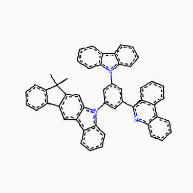 CC1(C)c2ccccc2-c2cc3c4ccccc4n(-c4cc(-c5nc6ccccc6c6ccccc56)cc(-n5c6ccccc6c6ccccc65)c4)c3cc21